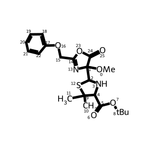 COC1(C2NC(C(=O)OC(C)(C)C)C(C)(C)S2)N=C(COc2ccccc2)OC1=O